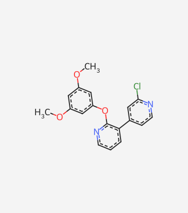 COc1cc(OC)cc(Oc2ncccc2-c2ccnc(Cl)c2)c1